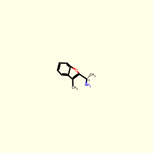 Cc1c([C@H](C)N)oc2ccccc12